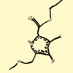 CCOC(=O)c1[nH]c(COC)c(Br)c1I